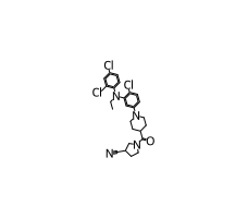 CCN(c1ccc(Cl)cc1Cl)c1cc(N2CCC(C(=O)N3CCC(C#N)C3)CC2)ccc1Cl